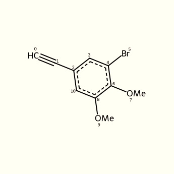 C#Cc1cc(Br)c(OC)c(OC)c1